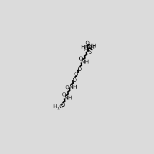 COCCCNC(=O)CCCC(=O)NCCCOCCOCCOCCCNC(=O)CCCC[C@@H]1SC[C@@H]2NC(=O)N[C@@H]21